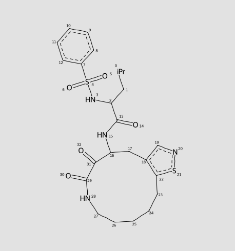 CC(C)CC(NS(=O)(=O)c1ccccc1)C(=O)NC1Cc2cnsc2CCCCCNC(=O)C1=O